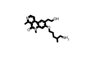 Cc1nccc2c1c(=O)n(C)c1cc(OCCCC(C)CN)c(CCO)cc21